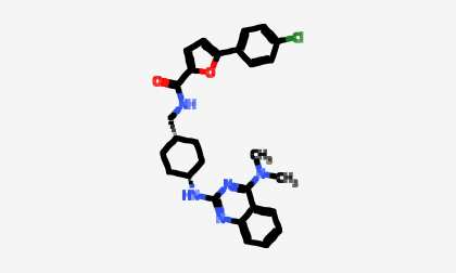 CN(C)c1nc(N[C@H]2CC[C@@H](CNC(=O)c3ccc(-c4ccc(Cl)cc4)o3)CC2)nc2ccccc12